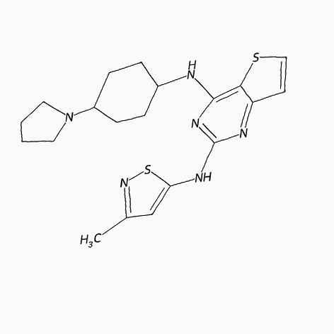 Cc1cc(Nc2nc(NC3CCC(N4CCCC4)CC3)c3sccc3n2)sn1